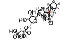 O=P(O)(O)CP(=O)(O)OC[C@H]1O[C@@H](n2cnc3c(N4C5CCC4CC(O)C5)nc(Cl)nc32)[C@@H](O)[C@H]1O